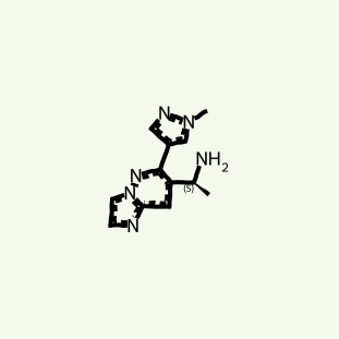 C[C@H](N)c1cc2nccn2nc1-c1cnn(C)c1